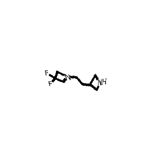 FC1(F)CN(CCC2CNC2)C1